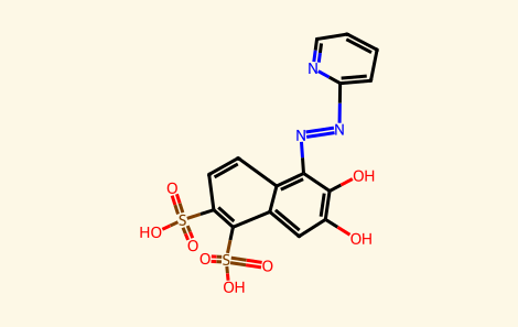 O=S(=O)(O)c1ccc2c(N=Nc3ccccn3)c(O)c(O)cc2c1S(=O)(=O)O